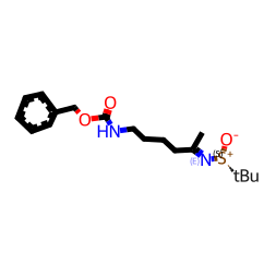 C/C(CCCCNC(=O)OCc1ccccc1)=N\[S@+]([O-])C(C)(C)C